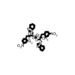 CC(C)(Cc1ccc([N+](=O)[O-])cc1)[C@@H](Cn1cnc2ccccc21)OC(=O)O[C@H](Cn1cnc2ccccc21)C(C)(C)Cc1ccc([N+](=O)[O-])cc1